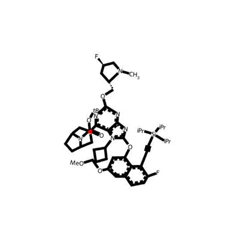 COCOc1cc(Oc2nc3nc(OC[C@@H]4C[C@@H](F)CN4C)nc(N4CC5CCC(C4)N5C(=O)OC(C)(C)C)c3n2C2CCC2)c2c(C#C[Si](C(C)C)(C(C)C)C(C)C)c(F)ccc2c1